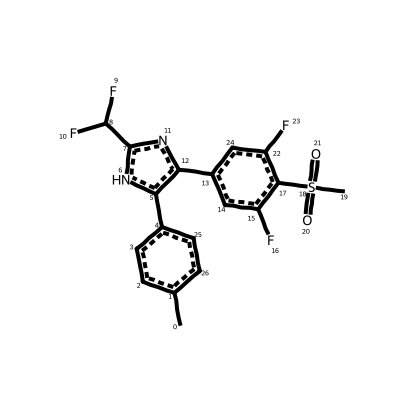 Cc1ccc(-c2[nH]c(C(F)F)nc2-c2cc(F)c(S(C)(=O)=O)c(F)c2)cc1